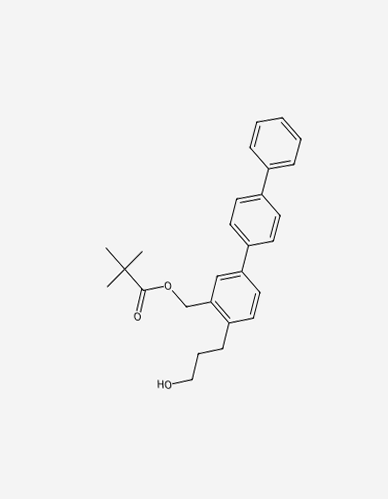 CC(C)(C)C(=O)OCc1cc(-c2ccc(-c3ccccc3)cc2)ccc1CCCO